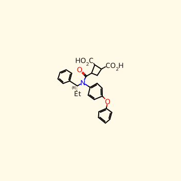 CC[C@H](c1ccccc1)N(C(=O)C1CC(C(=O)O)C1C(=O)O)c1ccc(Oc2ccccc2)cc1